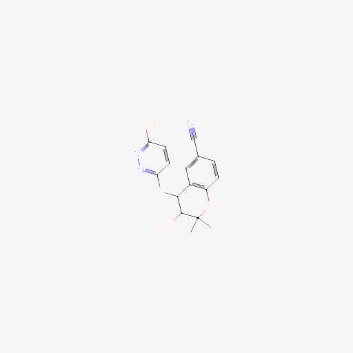 CC1(C)Oc2ccc(C#N)cc2C(Sc2ccc(O)nn2)C1O